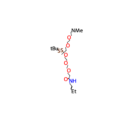 CC/C=C/CNC(=O)CCOCCOCCOC(C)(CCOCCOCCNC)SSC(C)(C)C